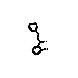 N=C(CCc1ccccc1)c1ccccc1O